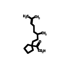 CC(C)=CCCC(C)CCC1(C(=O)C(=O)O)CCCC1